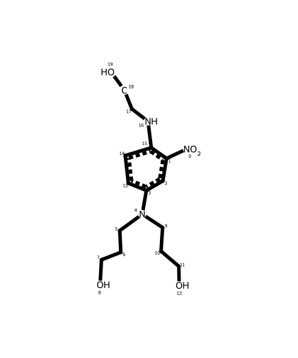 O=[N+]([O-])c1cc(N(CCCO)CCCO)ccc1NCCO